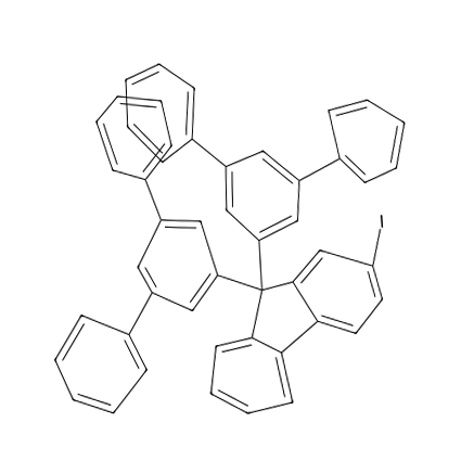 Ic1ccc2c(c1)C(c1cc(-c3ccccc3)cc(-c3ccccc3)c1)(c1cc(-c3ccccc3)cc(-c3ccccc3)c1)c1ccccc1-2